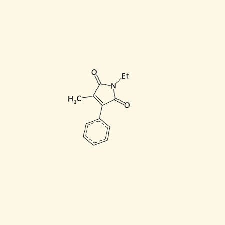 CCN1C(=O)C(C)=C(c2ccccc2)C1=O